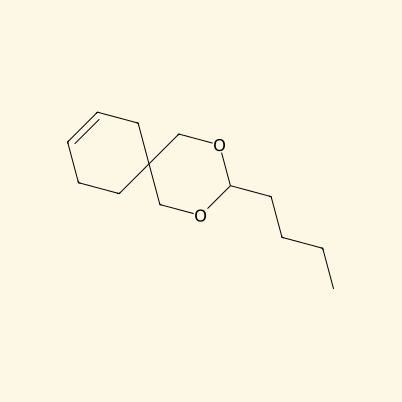 CCCCC1OCC2(CC=CCC2)CO1